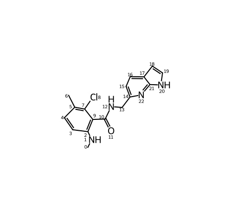 CNc1ccc(C)c(Cl)c1C(=O)NCc1ccc2cc[nH]c2n1